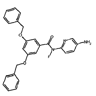 Nc1ccc(N(F)C(=O)c2cc(OCc3ccccc3)cc(OCc3ccccc3)c2)nc1